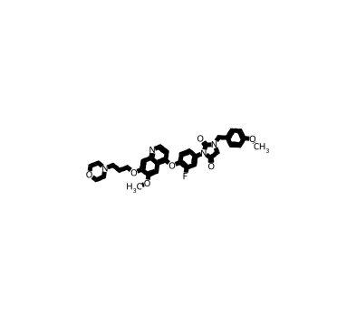 COc1ccc(CN2CC(=O)N(c3ccc(Oc4ccnc5cc(OCCCN6CCOCC6)c(OC)cc45)c(F)c3)C2=O)cc1